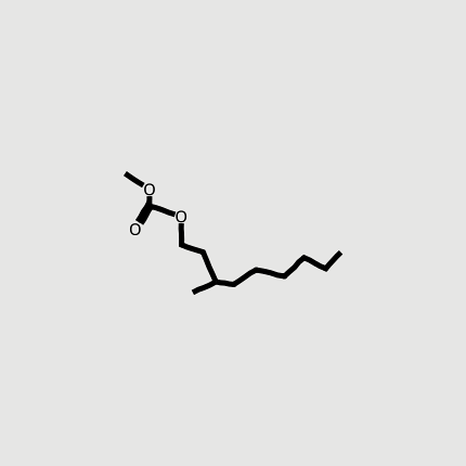 CCCCCCC(C)CCOC(=O)OC